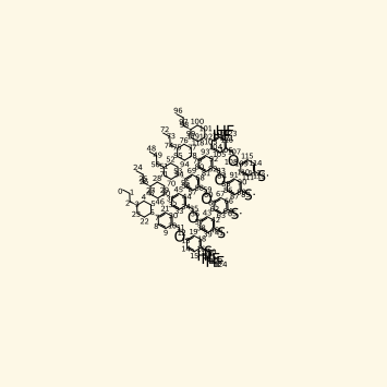 CCC[C@H]1CC[C@H](c2ccc(COc3ccc([S])cc3)cc2)CC1.CCC[C@H]1CC[C@H](c2ccc(COc3ccc([S])cc3)cc2)CC1.CCC[C@H]1CC[C@H](c2ccc(COc3ccc([S])cc3)cc2)CC1.CCC[C@H]1CC[C@H](c2ccc(COc3ccc([S])cc3)cc2)CC1.CCC[C@H]1CC[C@H](c2ccc(COc3ccc([S])cc3)cc2)CC1.F.F.F.F.F